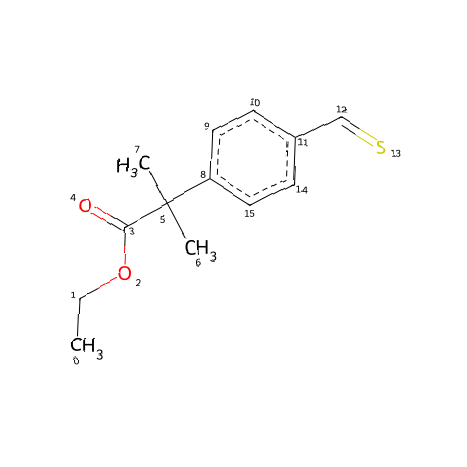 CCOC(=O)C(C)(C)c1ccc(C=S)cc1